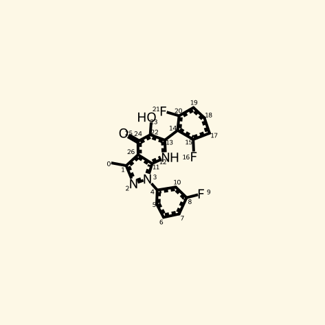 Cc1nn(-c2cccc(F)c2)c2[nH]c(-c3c(F)cccc3F)c(O)c(=O)c12